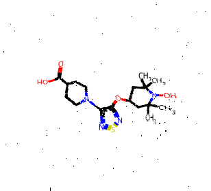 CC1(C)CC(Oc2nsnc2N2CCC(C(=O)O)CC2)CC(C)(C)N1O